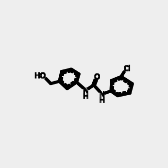 O=C(Nc1cccc(Cl)c1)Nc1cccc(CO)c1